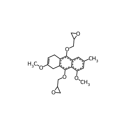 COC1=CCc2c(c(OCC3CO3)c3c(OC)cc(C)cc3c2OCC2CO2)C1